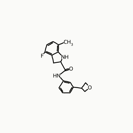 Cc1ccc(F)c2c1NC(C(=O)Nc1cccc(C3COC3)c1)C2